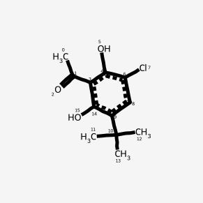 CC(=O)c1c(O)c(Cl)cc(C(C)(C)C)c1O